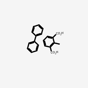 Cc1c(C(=O)O)cccc1C(=O)O.c1ccc(-c2ccccc2)cc1